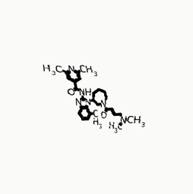 Cc1cc(C(=O)Nc2nc3cccc(C)c3n2C2CCCCN(C(=O)/C=C/CN(C)C)C2)cc(C)n1